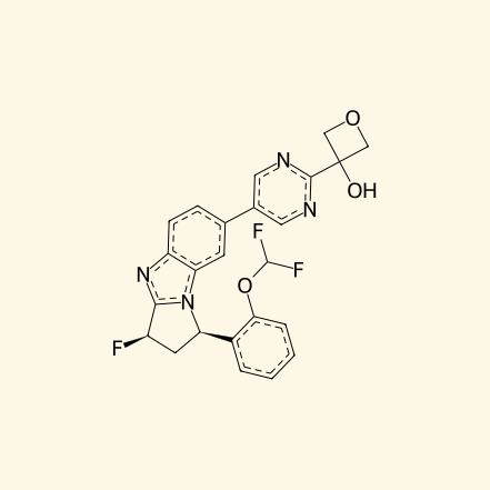 OC1(c2ncc(-c3ccc4nc5n(c4c3)[C@@H](c3ccccc3OC(F)F)C[C@H]5F)cn2)COC1